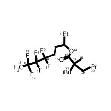 CCC(CCC(F)(F)C(F)(F)C(F)(F)C(F)(F)F)OC(=O)C(C)(CC(C)C)C(C)CC